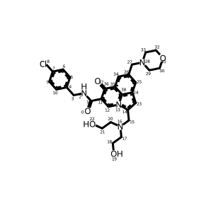 O=C(NCc1ccc(Cl)cc1)c1cn2c(CN(CCO)CCO)cc3cc(CN4CCOCC4)cc(c1=O)c32